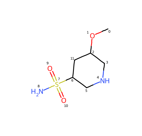 COC1CNCC(S(N)(=O)=O)C1